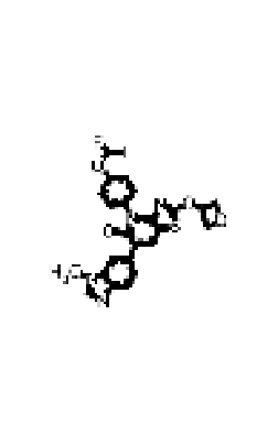 Cn1cnc2ccc(-c3cc4sc(OC5COC5)nc4n(-c4ccc(OC(F)F)cc4)c3=O)cc21